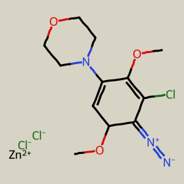 COC1=C(Cl)C(=[N+]=[N-])C(OC)C=C1N1CCOCC1.[Cl-].[Cl-].[Zn+2]